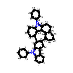 c1ccc(-n2c3ccccc3c3cc4c(cc32)-c2cccc3c2c2c5c-4cccc5ccc2n3-c2ccccc2)cc1